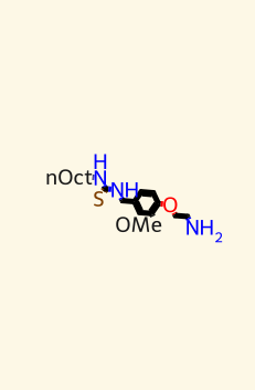 CCCCCCCCNC(=S)NCc1ccc(OCCN)c(OC)c1